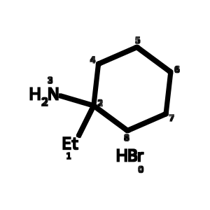 Br.CCC1(N)CCCCC1